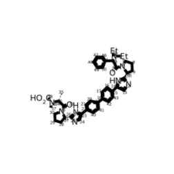 CCN(CC)[C@@H](C(=O)N1CCC[C@H]1c1ncc(-c2ccc(-c3ccc(-c4cnc([C@@H]5CCCN5C(=O)[C@@H](C)N(C)C(=O)O)[nH]4)cc3)cc2)[nH]1)c1ccccc1